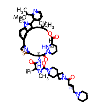 CCn1c(-c2cccnc2[C@H](C)OC)c2c3cc(ccc31)-c1csc(n1)C[C@H](NC(=O)C(C(C)C)N(C)C(=O)N1CCC3(CC1)CN(C(=O)/C=C/CN1CCCCC1)C3)C(=O)N1CCC[C@H](N1)C(=O)OCC(C)(C)C2